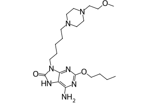 CCCCOc1nc(N)c2[nH]c(=O)n(CCCCCN3CCN(CCOC)CC3)c2n1